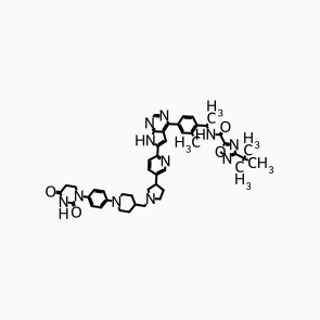 Cc1cc(-c2ncnc3[nH]c(-c4ccc(C5CCN(CC6CCN(c7ccc(N8CCC(=O)NC8=O)cc7)CC6)C5)cn4)cc23)ccc1C(C)NC(=O)c1nc(C(C)(C)C)no1